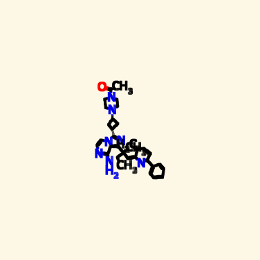 C=c1ccc(-c2ccccc2)n/c1=C/C(C)(CC)c1nc([C@H]2C[C@@H](N3CCN(C(C)=O)CC3)C2)n2ccnc(N)c12